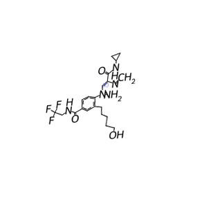 C=N/C(=C\N(N)c1ccc(C(=O)NCC(F)(F)F)cc1CCCCCO)C(=O)NC1CC1